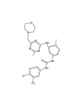 Cc1nc(CN2CCOCC2)nc(Nc2cc(NC(=O)Nc3ccc(Cl)c(C(F)(F)F)c3)ccc2C)n1